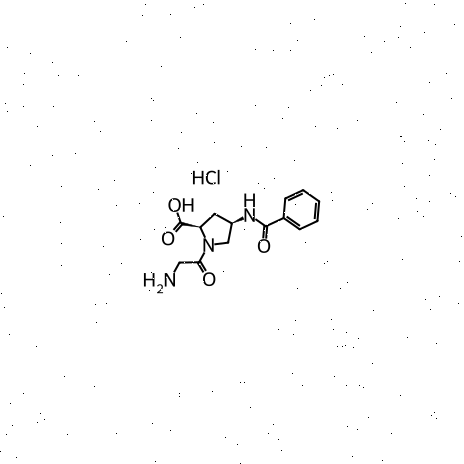 Cl.NCC(=O)N1C[C@H](NC(=O)c2ccccc2)C[C@@H]1C(=O)O